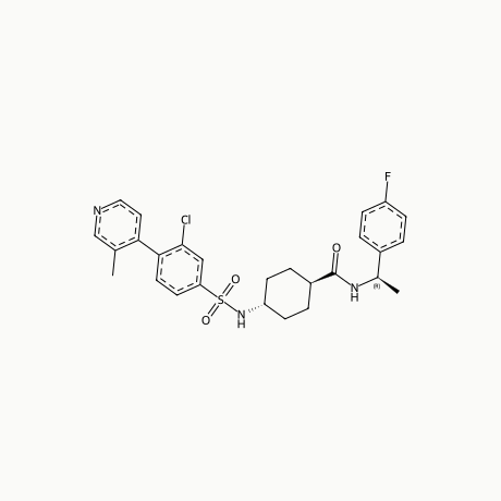 Cc1cnccc1-c1ccc(S(=O)(=O)N[C@H]2CC[C@H](C(=O)N[C@H](C)c3ccc(F)cc3)CC2)cc1Cl